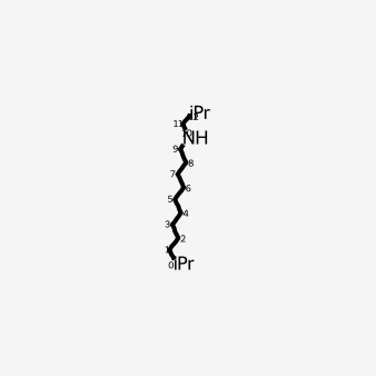 CC(C)CCCCCCCCCNCC(C)C